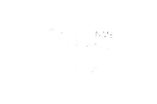 CNC(=O)C(=O)c1ccccc1-c1[c]c2ccccc2cc1